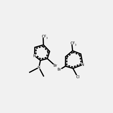 CN(C)c1ncc(C(F)(F)F)cc1Br.FC(F)(F)c1cnc(Cl)c(Br)c1